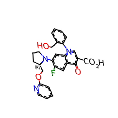 O=C(O)c1cn(-c2ccccc2CO)c2cc(N3CCC[C@@H]3COc3ccccn3)c(F)cc2c1=O